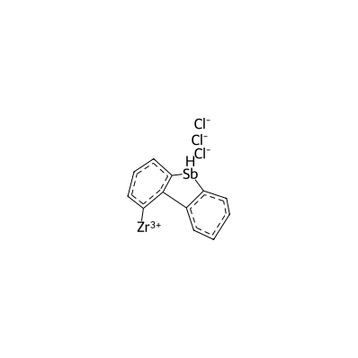 [Cl-].[Cl-].[Cl-].[Zr+3][c]1ccc[c]2c1-c1cccc[c]1[SbH]2